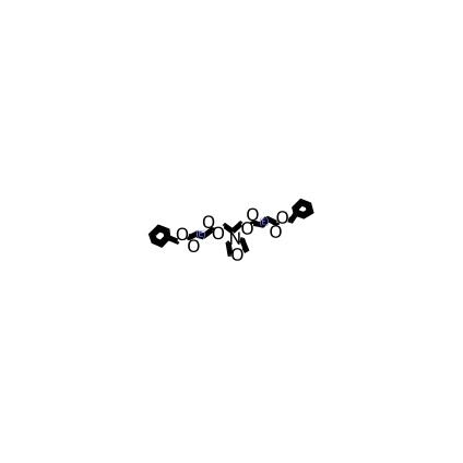 O=C(/C=C/C(=O)OCC(COC(=O)/C=C/C(=O)OCc1ccccc1)N1CCOCC1)OCc1ccccc1